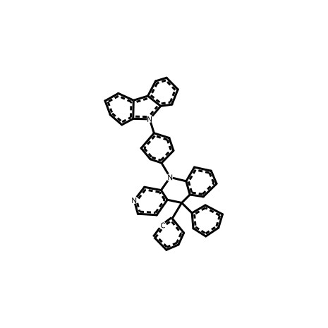 c1ccc(C2(c3ccccc3)c3ccccc3N(c3ccc(-n4c5ccccc5c5ccccc54)cc3)c3cnccc32)cc1